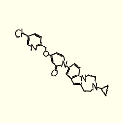 O=c1cc(OCc2ccc(Cl)cn2)ccn1-c1ccc2c(c1)cc1n2CCN(C2CC2)CC1